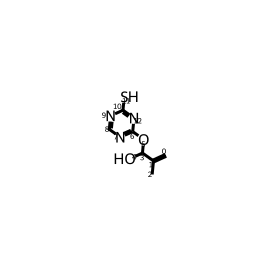 C=C(C)C(O)Oc1ncnc(S)n1